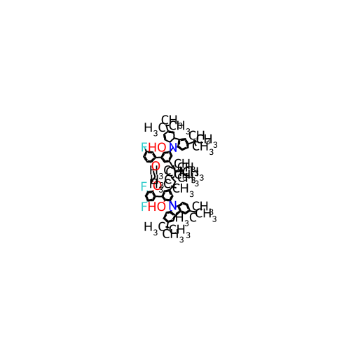 CC(C)(C)CC(C)(C)c1cc(-c2cc(F)ccc2OCCCOc2c(F)cc(F)cc2-c2cc(C(C)(C)CC(C)(C)C)cc(-n3c4ccc(C(C)(C)C)cc4c4cc(C(C)(C)C)ccc43)c2O)c(O)c(N2c3ccc(C(C)(C)C)cc3C3C=C(C(C)(C)C)C=CC32)c1